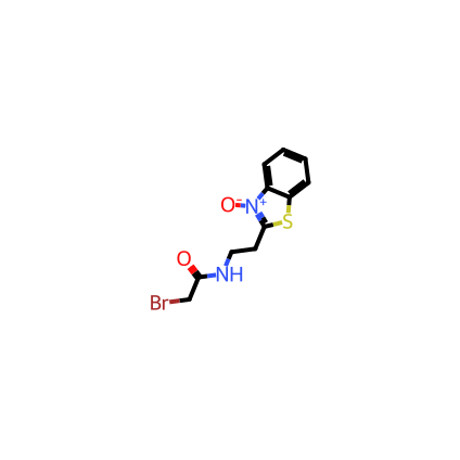 O=C(CBr)NCCc1sc2ccccc2[n+]1[O-]